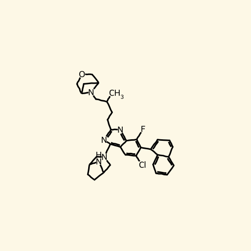 CC(CCc1nc(N2CC3CCC(C2)N3)c2cc(Cl)c(-c3cccc4ccccc34)c(F)c2n1)CN1C2COCC1C2